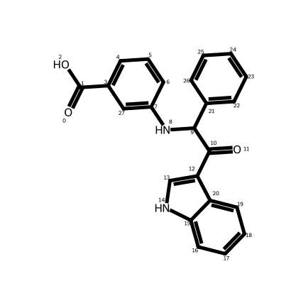 O=C(O)c1cccc(NC(C(=O)c2c[nH]c3ccccc23)c2ccccc2)c1